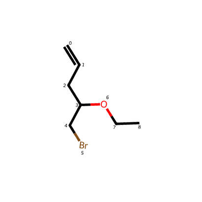 C=CCC(CBr)OCC